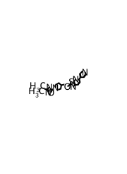 CC(C)c1noc(N2CCC(COc3nc4ccc(-c5ccncc5)nc4s3)CC2)n1